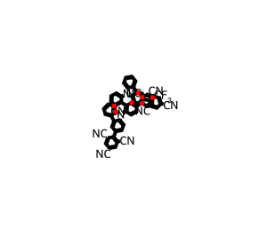 N#Cc1cc(C#N)c(-c2ccc3c(c2)c2ccccc2n3-c2ccc(-c3ccc(C(F)(F)F)cc3C#N)cc2-c2c(C#N)cccc2-n2c3ccccc3c3cc(-c4c(C#N)cc(C#N)cc4C#N)ccc32)c(C#N)c1